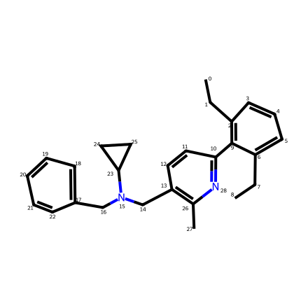 CCc1cccc(CC)c1-c1ccc(CN(Cc2ccccc2)C2CC2)c(C)n1